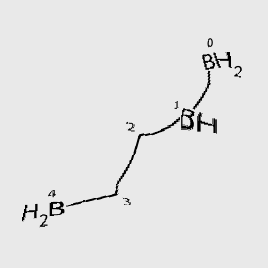 BBCCB